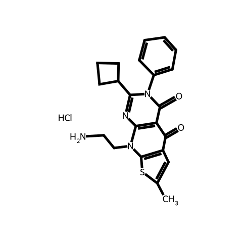 Cc1cc2c(=O)c3c(=O)n(-c4ccccc4)c(C4CCC4)nc3n(CCN)c2s1.Cl